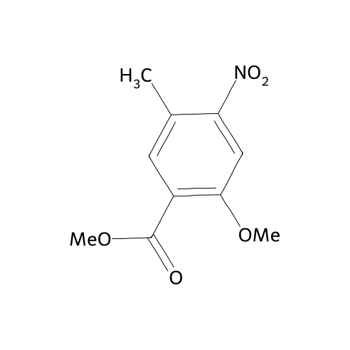 COC(=O)c1cc(C)c([N+](=O)[O-])cc1OC